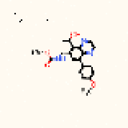 CC(O)c1c(CNC(=O)OC(C)(C)C)cc(-c2ccc(OC(F)(F)F)cc2)c2nccnc12